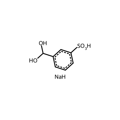 O=S(=O)(O)c1cccc(C(O)O)c1.[NaH]